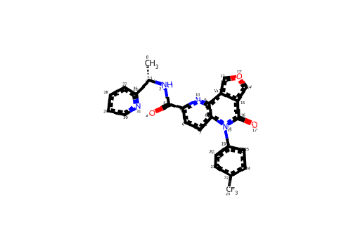 C[C@H](NC(=O)c1ccc2c(n1)c1cocc1c(=O)n2-c1ccc(C(F)(F)F)cc1)c1ccccn1